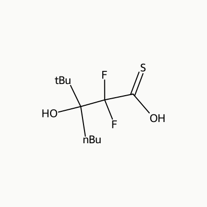 CCCCC(O)(C(C)(C)C)C(F)(F)C(O)=S